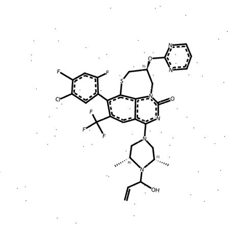 C=CC(O)N1[C@H](C)CN(c2nc(=O)n3c4c(c(-c5cc(Cl)c(F)cc5F)c(C(F)(F)F)cc24)SC[C@@H](Oc2ncccn2)C3)C[C@@H]1C